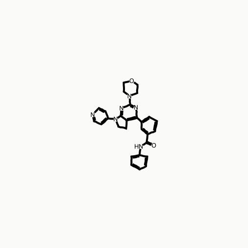 O=C(Nc1ccccc1)c1cccc(-c2nc(N3CCOCC3)nc3c2CCN3c2ccncc2)c1